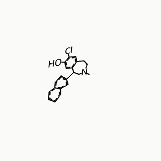 CN1CCc2cc(Cl)c(O)cc2C(c2ccc3ccccc3c2)C1